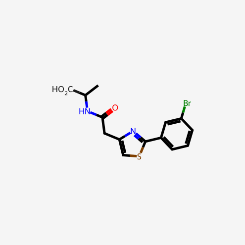 CC(NC(=O)Cc1csc(-c2cccc(Br)c2)n1)C(=O)O